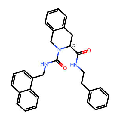 O=C(NCCc1ccccc1)[C@@H]1Cc2ccccc2CN1C(=O)NCc1cccc2ccccc12